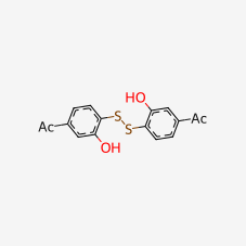 CC(=O)c1ccc(SSc2ccc(C(C)=O)cc2O)c(O)c1